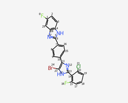 Fc1ccc2[nH]c(-c3ccc(-c4nc(-c5c(F)cccc5Cl)[nH]c4Br)cc3)nc2c1